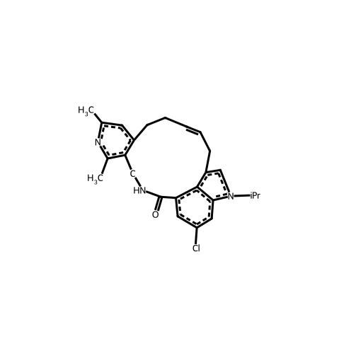 Cc1cc2c(c(C)n1)CNC(=O)c1cc(Cl)cc3c1c(cn3C(C)C)C/C=C\CC2